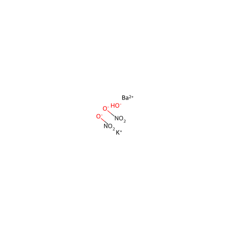 O=[N+]([O-])[O-].O=[N+]([O-])[O-].[Ba+2].[K+].[OH-]